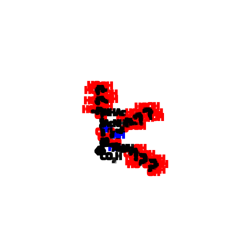 CC(=O)N[C@H]1[C@H](OCCCNC(=O)COc2cc(-c3cccc(C(=O)O)c3)cc(OCC(=O)NCCCO[C@@H]3O[C@H](CO)[C@@H](O[C@@H]4O[C@H](CO)[C@H](O)[C@H](O[C@H]5O[C@H](CO)[C@H](O)[C@H](O)[C@H]5O)[C@H]4O)[C@H](O)[C@H]3NC(C)=O)c2OCC(=O)NCCCO[C@@H]2O[C@H](CO)[C@@H](O[C@@H]3O[C@H](CO)[C@H](O)[C@H](O[C@H]4O[C@H](CO)[C@H](O)[C@H](O)[C@H]4O)[C@H]3O)[C@H](O)[C@H]2NC(C)=O)O[C@H](CO)[C@@H](O[C@@H]2O[C@H](CO)[C@H](O)[C@H](O[C@H]3O[C@H](CO)[C@H](O)[C@H](O)[C@H]3O)[C@H]2O)[C@@H]1O